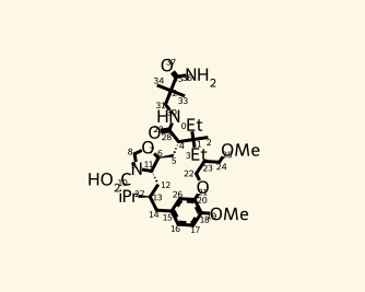 CCC(C)(CC)[C@H](C[C@@H]1OCN(C(=O)O)[C@H]1C[C@@H](Cc1ccc(OC)c(OCCCOC)c1)C(C)C)C(=O)NCC(C)(C)C(N)=O